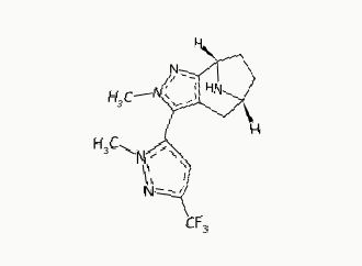 Cn1nc(C(F)(F)F)cc1-c1c2c(nn1C)[C@@H]1CC[C@H](C2)N1